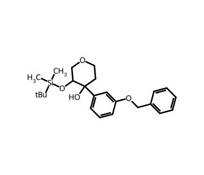 CC(C)(C)[Si](C)(C)OC1COCCC1(O)c1cccc(OCc2ccccc2)c1